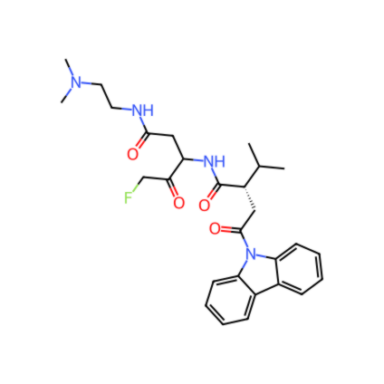 CC(C)[C@H](CC(=O)n1c2ccccc2c2ccccc21)C(=O)NC(CC(=O)NCCN(C)C)C(=O)CF